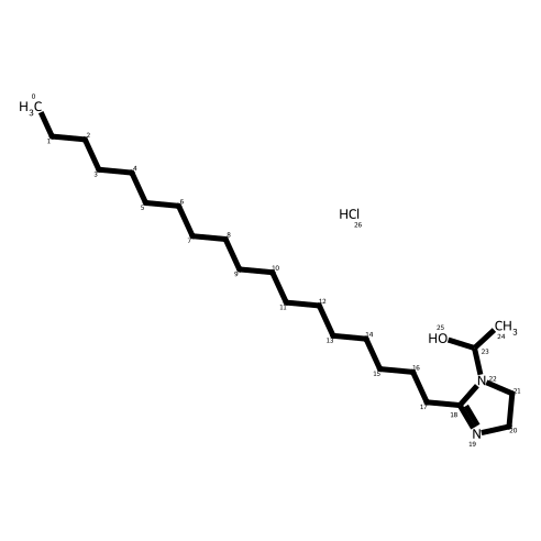 CCCCCCCCCCCCCCCCCCC1=NCCN1C(C)O.Cl